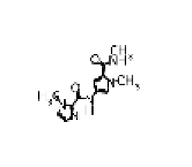 CNC(=O)c1cc(NC(=O)c2nccn2C)cn1C